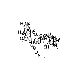 C#CCCCON(C(=O)[C@@H](NC(=O)[C@H]1CCCCN1C)[C@@H](C)CC)[C@H](C[C@@H](OC(C)=O)c1nc(C(=O)N[C@@H](Cc2ccc(NC(=O)[C@H](CCCNC(N)=O)NC(=O)[C@@H](NC(=O)[C@H](CCC(=O)O)NC(=O)CCOCCOCCOCCOCCN)C(C)C)cc2)CC(C)(C)C(=O)O)cs1)C(C)C